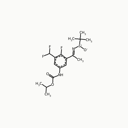 CC(=N[S+]([O-])C(C)(C)C)c1cc(NC(=O)OC(C)C)cc(C(F)F)c1F